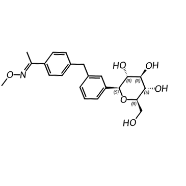 CON=C(C)c1ccc(Cc2cccc([C@@H]3O[C@H](CO)[C@@H](O)[C@H](O)[C@H]3O)c2)cc1